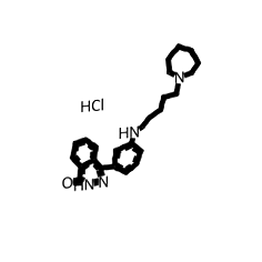 Cl.O=c1[nH]nc(-c2cccc(NCCCCCN3CCCCCC3)c2)c2ccccc12